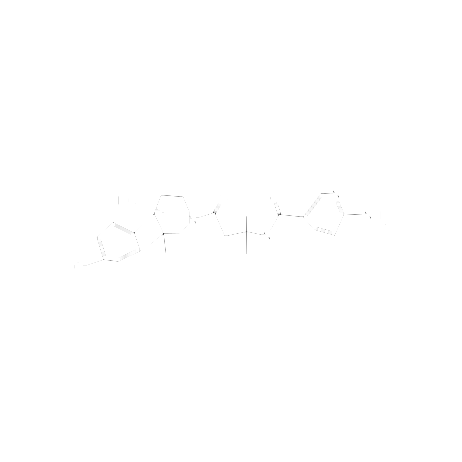 CC(C)(CC(=O)N1CC[C@](O)(c2ccc(Cl)cc2)C(C)(C)C1)NC(=O)c1ccc(N)nc1